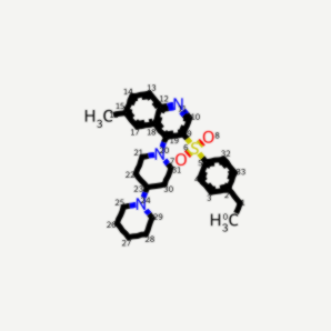 CCc1ccc(S(=O)(=O)c2cnc3ccc(C)cc3c2N2CCC(N3CCCCC3)CC2)cc1